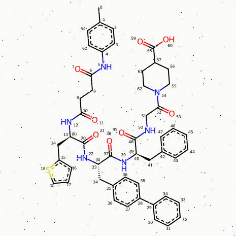 Cc1ccc(NC(=O)CCC(=O)N[C@H](Cc2cccs2)C(=O)N[C@@H](Cc2ccc(-c3ccccc3)cc2)C(=O)N[C@H](Cc2ccccc2)C(=O)NCC(=O)N2CCC(C(=O)O)CC2)cc1